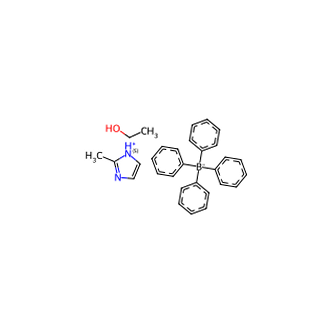 CC1=NC=C[N@@H+]1C(C)O.c1ccc([B-](c2ccccc2)(c2ccccc2)c2ccccc2)cc1